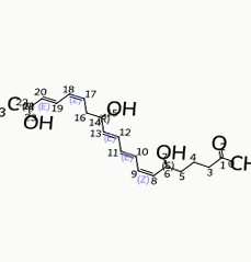 CC(=O)CCC[C@H](O)\C=C/C=C/C=C/[C@H](O)C/C=C\C=C\[C@@H](C)O